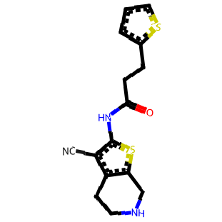 N#Cc1c(NC(=O)CCc2cccs2)sc2c1CCNC2